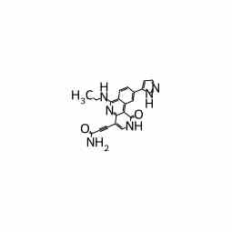 CCNc1nc2c(C#CC(N)=O)c[nH]c(=O)c2c2cc(-c3ccn[nH]3)ccc12